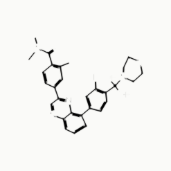 Cc1cc(-c2cnc3cccc(-c4ccc(C(O)(O)N5CCSCC5)c(F)c4)c3n2)ccc1C(=O)N(C)C